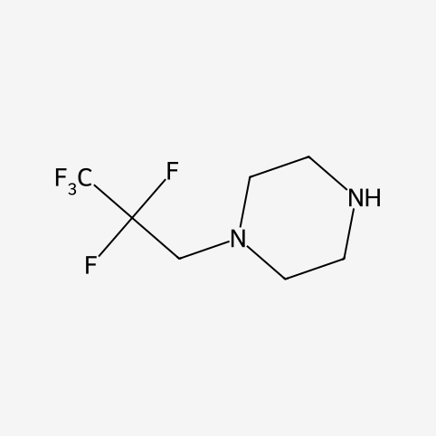 FC(F)(F)C(F)(F)CN1CCNCC1